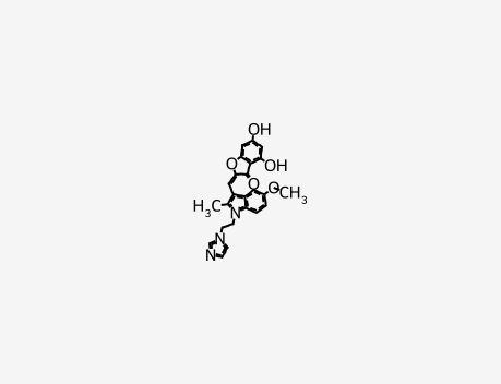 COc1ccc2c(c1)c(C=C1Oc3cc(O)cc(O)c3C1=O)c(C)n2CCn1ccnc1